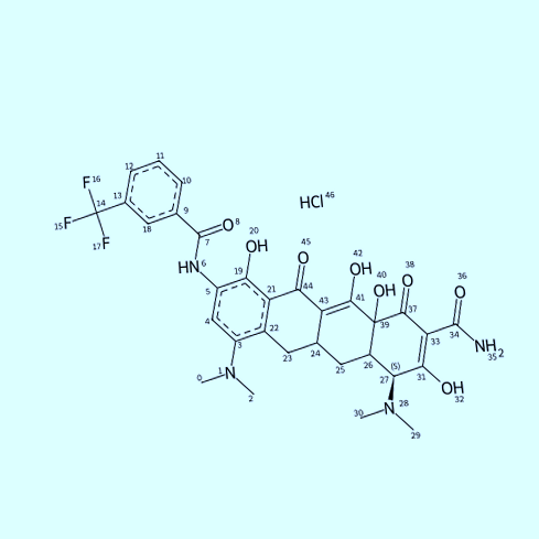 CN(C)c1cc(NC(=O)c2cccc(C(F)(F)F)c2)c(O)c2c1CC1CC3[C@H](N(C)C)C(O)=C(C(N)=O)C(=O)C3(O)C(O)=C1C2=O.Cl